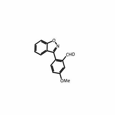 COc1ccc(-c2noc3ccccc23)c(C=O)c1